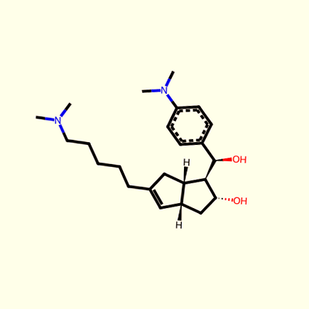 CN(C)CCCCCC1=C[C@H]2C[C@@H](O)[C@H]([C@H](O)c3ccc(N(C)C)cc3)[C@H]2C1